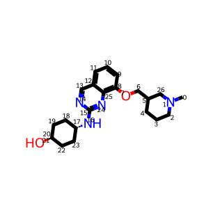 CN1CCCC(COc2cccc3cnc(N[C@H]4CC[C@H](O)CC4)nc23)C1